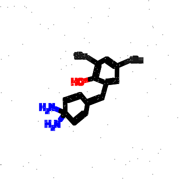 CC(C)(C)c1cc(C=C2C=CC(N)(N)C=C2)c(O)c(C(C)(C)C)c1